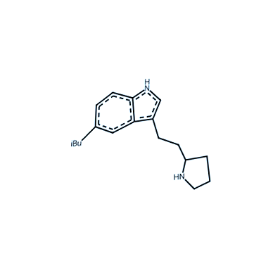 CCC(C)c1ccc2[nH]cc(CCC3CCCN3)c2c1